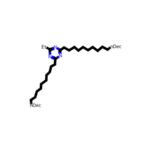 [CH2]Cc1nc(CCCCCCCCCCCCCCCCCCCC)nc(CCCCCCCCCCCCCCCCCCCC)n1